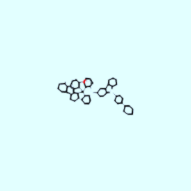 Cc1ccccc1C1(c2cccc3c2oc2c(C(C)(C)C)cccc23)c2ccccc2N(c2ccc3c(c2)c2ccccc2n3-c2ccc(-c3ccccc3)cc2)c2ccccc21